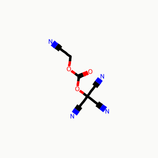 N#CCOC(=O)OC(C#N)(C#N)C#N